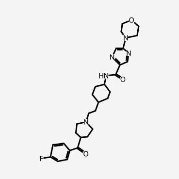 O=C(NC1CCC(CCN2CCC(C(=O)c3ccc(F)cc3)CC2)CC1)c1cnc(N2CCOCC2)cn1